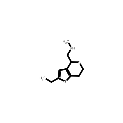 CCc1cc2c(s1)CCOC2CNC